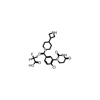 O=C(O)C(F)(F)F.O=C1CCN(c2cc(C(=O)N3CCC(C4CNC4)CC3)ccc2Cl)C(=O)N1